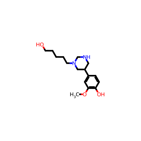 COc1cc(C2CNCN(CCCCCO)C2)ccc1O